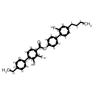 CCCCc1ccc(-c2ccc(OC(=O)c3ccc(-c4ccc(CC)cc4)c(F)c3F)cc2)c(F)c1